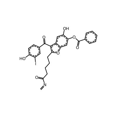 C=NC(=O)CCCCc1oc2cc(OC(=O)c3ccccc3)c(O)cc2c1C(=O)c1ccc(O)c(I)c1